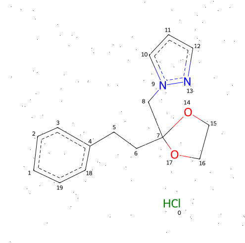 Cl.c1ccc(CCC2(Cn3cccn3)OCCO2)cc1